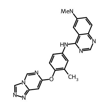 CNc1ccc2ncnc(Nc3ccc(Oc4cc5nncn5cn4)c(C)c3)c2c1